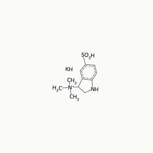 C[N+](C)(C)C1CNc2ccc(S(=O)(=O)O)cc21.[KH]